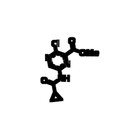 COC(=O)c1nc(NC(=O)C2CC2)cnc1Cl